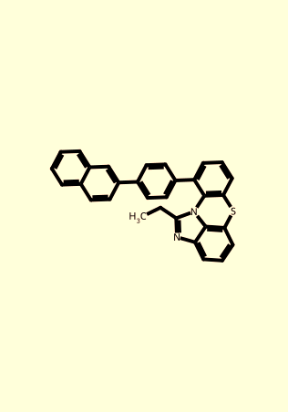 CCc1nc2cccc3c2n1-c1c(cccc1-c1ccc(-c2ccc4ccccc4c2)cc1)S3